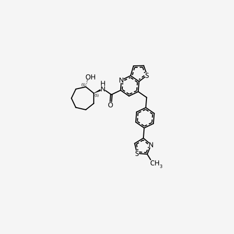 Cc1nc(-c2ccc(Cc3cc(C(=O)N[C@H]4CCCCC[C@@H]4O)nc4ccsc34)cc2)cs1